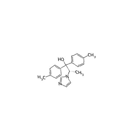 Cc1ccc(C(O)(c2ccc(C)cc2)[C@H](C)n2ccnc2)cc1